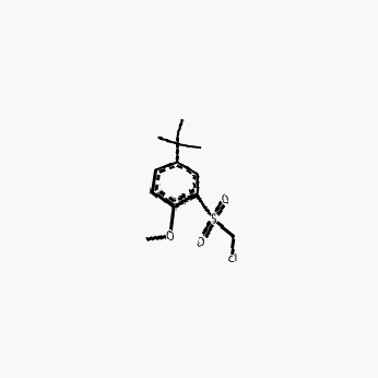 COc1ccc(C(C)(C)C)cc1S(=O)(=O)CCl